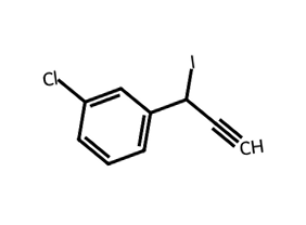 C#CC(I)c1cccc(Cl)c1